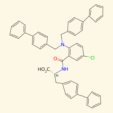 O=C(N[C@H](Cc1ccc(-c2ccccc2)cc1)C(=O)O)c1cc(Cl)ccc1N(Cc1ccc(-c2ccccc2)cc1)Cc1ccc(-c2ccccc2)cc1